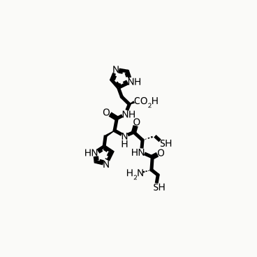 N[C@@H](CS)C(=O)N[C@@H](CS)C(=O)N[C@@H](Cc1cnc[nH]1)C(=O)N[C@@H](Cc1cnc[nH]1)C(=O)O